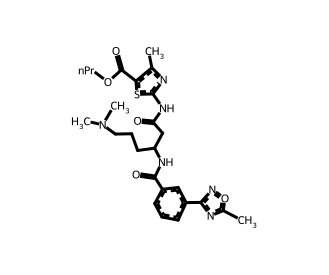 CCCOC(=O)c1sc(NC(=O)CC(CCCN(C)C)NC(=O)c2cccc(-c3noc(C)n3)c2)nc1C